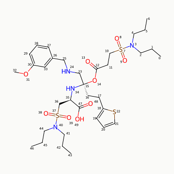 CCCN(CCC)S(=O)(=O)CCC(=O)O[C@](CCc1cccs1)(CNCc1cccc(OC)c1)N[C@H](CS(=O)(=O)N(CCC)CCC)C(=O)O